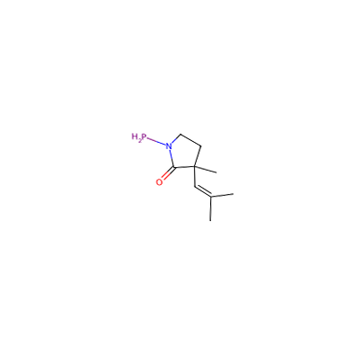 CC(C)=CC1(C)CCN(P)C1=O